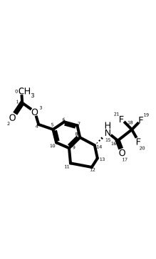 CC(=O)OCc1ccc2c(c1)CCC[C@H]2NC(=O)C(F)(F)F